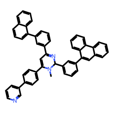 CN1C(c2ccc(-c3cccnc3)cc2)=CC(c2cccc(-c3cccc4ccccc34)c2)=NC1c1cccc(-c2cc3ccccc3c3ccccc23)c1